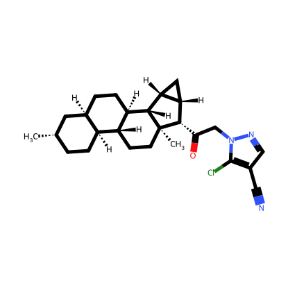 C[C@H]1CC[C@H]2[C@H](CC[C@@H]3[C@@H]2CC[C@@]2(C)[C@H]3[C@@H]3C[C@@H]3[C@@H]2C(=O)Cn2ncc(C#N)c2Cl)C1